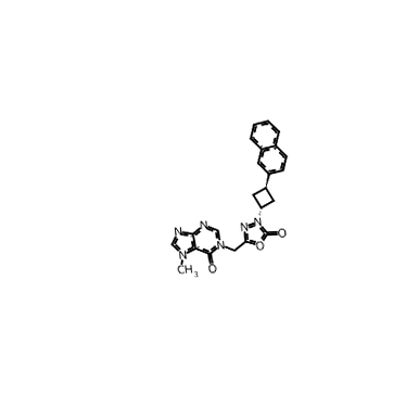 Cn1cnc2ncn(Cc3nn([C@H]4C[C@H](c5ccc6ccccc6c5)C4)c(=O)o3)c(=O)c21